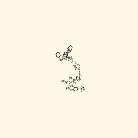 Cc1ncsc1-c1ccc([C@H](C)NC(=O)[C@@H]2C[C@@H](O)CN2C(=O)[C@@H](c2cc(OCC[C@@H]3CCN(C[C@H]4C[C@H](Oc5cc(N6C7CCC6CN(c6cc(-c8ccccc8O)nnc6N)C7)ccn5)C4)[C@H](C)[C@@H]3C)no2)C(C)C)cc1